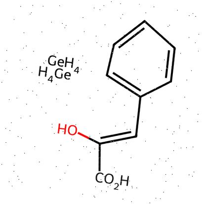 O=C(O)C(O)=Cc1ccccc1.[GeH4].[GeH4]